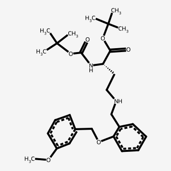 COc1cccc(COc2ccccc2CNCC[C@H](NC(=O)OC(C)(C)C)C(=O)OC(C)(C)C)c1